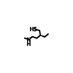 CC[C@H](CS)CCNC